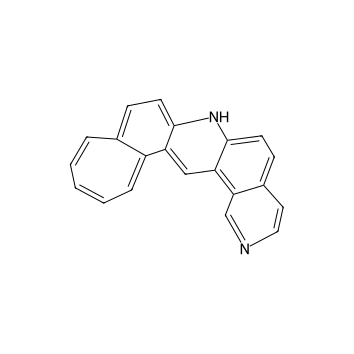 C1=CC=c2c(ccc3c2=Cc2c(ccc4ccncc24)N3)C=C1